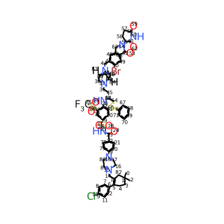 CC1(C)CCC(c2ccc(Cl)cc2)=C(CN2CCN(c3ccc(C(=O)NS(=O)(=O)c4ccc(N[C@H](CCN5C[C@H]6C[C@@H]5CN6Cc5cc6c(cc5Br)C(=O)N(C5CCC(=O)NC5=O)C6)CSc5ccccc5)c(S(=O)(=O)C(F)(F)F)c4)cc3)CC2)C1